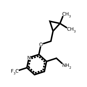 CC1(C)CC1COc1nc(C(F)(F)F)ccc1CN